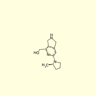 C[C@@H]1CCCN1c1cc2c(c(CO)n1)CNC2